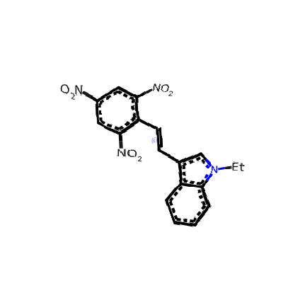 CCn1cc(/C=C/c2c([N+](=O)[O-])cc([N+](=O)[O-])cc2[N+](=O)[O-])c2ccccc21